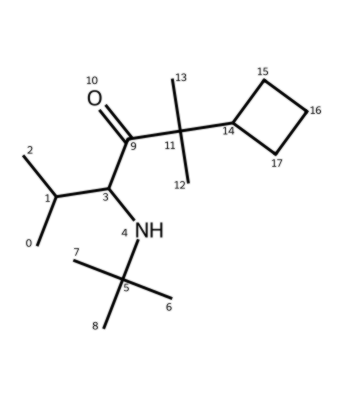 CC(C)C(NC(C)(C)C)C(=O)C(C)(C)C1CCC1